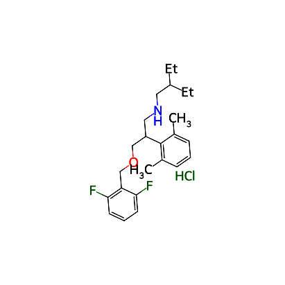 CCC(CC)CNCC(COCc1c(F)cccc1F)c1c(C)cccc1C.Cl